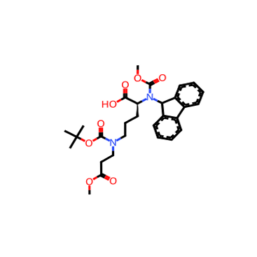 COC(=O)CCN(CCC[C@@H](C(=O)O)N(C(=O)OC)C1c2ccccc2-c2ccccc21)C(=O)OC(C)(C)C